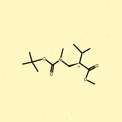 COC(=O)[C@@H](CN(C)C(=O)OC(C)(C)C)C(C)C